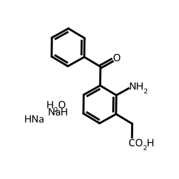 Nc1c(CC(=O)O)cccc1C(=O)c1ccccc1.O.[NaH].[NaH]